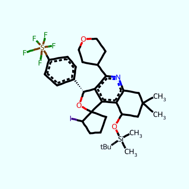 CC1(C)Cc2nc(C3CCOCC3)c3c(c2C(O[Si](C)(C)C(C)(C)C)C1)C1(CCCC1I)O[C@@H]3c1ccc(S(F)(F)(F)(F)F)cc1